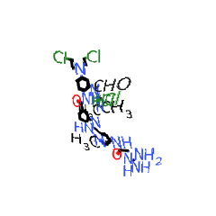 CN(C)CCN(C=O)c1cc(N(CCCl)CCCl)ccc1NC(=O)c1ccc2[nH]c(-c3cc(NC(=O)CNC(=N)N)cn3C)nc2c1.Cl.Cl